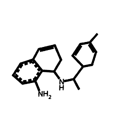 CC1=CCC(C(C)NC2CC=Cc3cccc(N)c32)C=C1